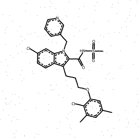 Cc1cc(C)c(Cl)c(OCCCc2c(C(=O)NS(C)(=O)=O)n(Cc3cccnc3)c3cc(Cl)ccc23)c1